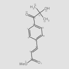 COC(=O)C=Cc1ccc(C(=O)C(C)(C)O)cc1